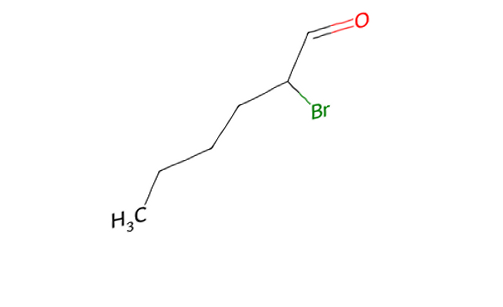 CCCCC(Br)C=O